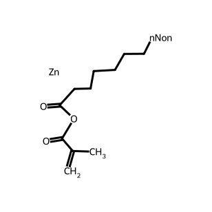 C=C(C)C(=O)OC(=O)CCCCCCCCCCCCCCC.[Zn]